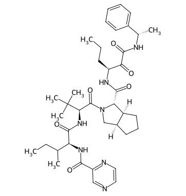 CCC[C@H](NC(=O)[C@@H]1[C@H]2CCC[C@H]2CN1C(=O)[C@@H](NC(=O)[C@@H](NC(=O)c1cnccn1)C(C)CC)C(C)(C)C)C(=O)C(=O)N[C@@H](C)c1ccccc1